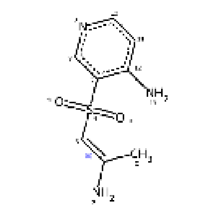 C/C(N)=C\S(=O)(=O)c1cnccc1N